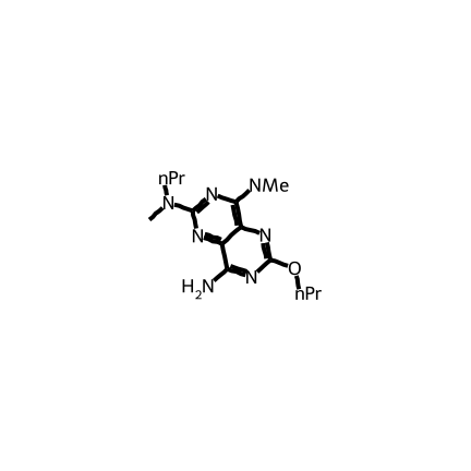 CCCOc1nc(N)c2nc(N(C)CCC)nc(NC)c2n1